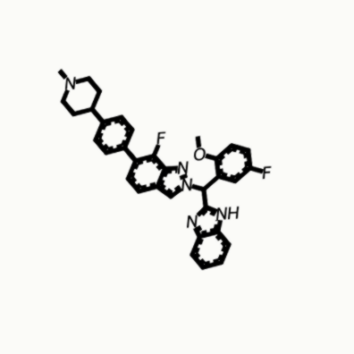 COc1ccc(F)cc1C(c1nc2ccccc2[nH]1)n1cc2ccc(-c3ccc(C4CCN(C)CC4)cc3)c(F)c2n1